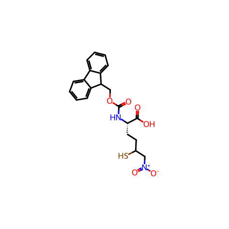 O=C(N[C@@H](CCC(S)C[N+](=O)[O-])C(=O)O)OCC1c2ccccc2-c2ccccc21